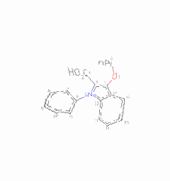 CCCOc1c(C(=O)O)n(-c2ccccc2)c2ccccc12